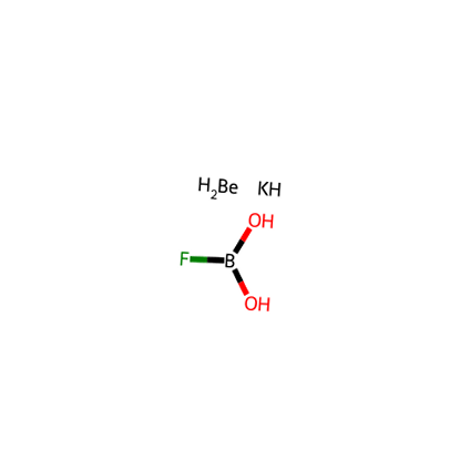 OB(O)F.[BeH2].[KH]